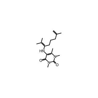 C=C(C)CCCC(Nc1c(C)n(C)c(=O)n(C)c1=O)=C(C)C